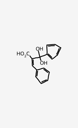 O=C(O)C(=Cc1ccccc1)C(O)(O)c1ccccc1